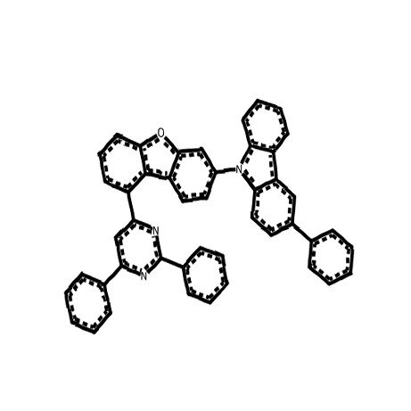 c1ccc(-c2ccc3c(c2)c2ccccc2n3-c2ccc3c(c2)oc2cccc(-c4cc(-c5ccccc5)nc(-c5ccccc5)n4)c23)cc1